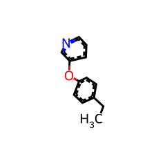 CCc1ccc(Oc2cccnc2)cc1